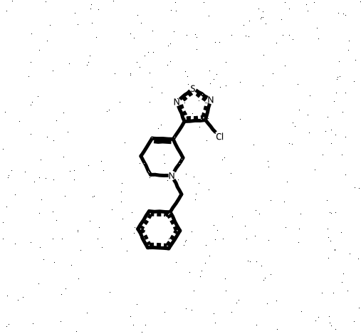 Clc1nsnc1C1=CCCN(Cc2ccccc2)C1